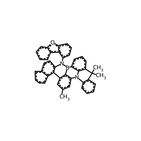 Cc1cc2c3c(c1)N1c4ccccc4C(C)(C)c4cccc(c41)B3N(c1cccc3oc4ccccc4c13)c1ccc3ccccc3c1-2